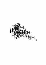 CCCCCCCC(C)(CCCC)C(=O)C(C)(C)CC(C)(C)N1C(=O)C=CC1=O